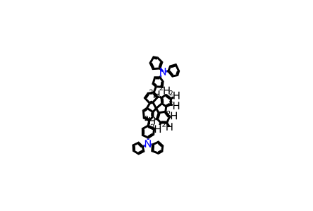 [2H]c1c([2H])c([2H])c2c(c1[2H])-c1c([2H])c([2H])c([2H])c([2H])c1C21c2cc(-c3ccc(N(c4ccccc4)c4ccccc4)cc3)ccc2-c2ccc(-c3ccc(N(c4ccccc4)c4ccccc4)cc3)cc21